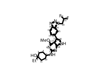 CCC1(O)CCC(Nc2nc(OC)c3c(-c4ccc5nnn(CC(F)F)c5c4)c[nH]c3n2)CC1